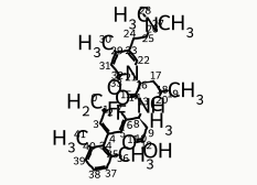 C=C(F)/C=C(\C=C(/F)[C@H](CC(=O)O)NC(=O)[C@H](CC(C)C)n1cc(CCN(C)C)c(C)cc1=O)c1c(C)cccc1C